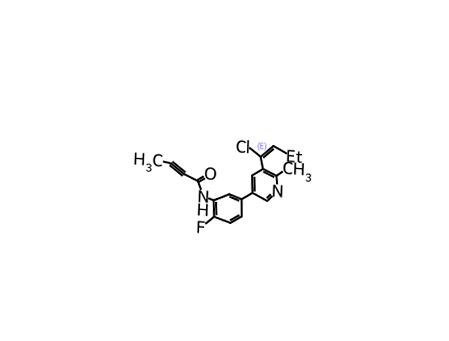 CC#CC(=O)Nc1cc(-c2cnc(C)c(/C(Cl)=C\CC)c2)ccc1F